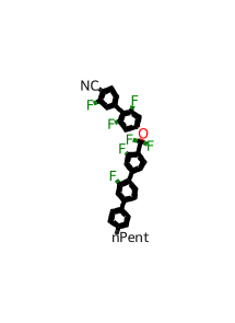 CCCCCc1ccc(-c2ccc(-c3ccc(C(F)(F)Oc4cc(F)c(-c5ccc(C#N)c(F)c5)c(F)c4)c(F)c3)c(F)c2)cc1